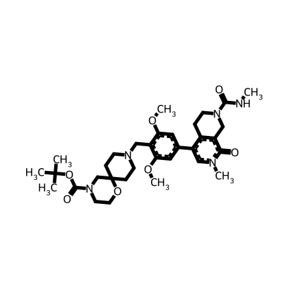 CNC(=O)N1CCc2c(-c3cc(OC)c(CN4CCC5(CC4)CN(C(=O)OC(C)(C)C)CCO5)c(OC)c3)cn(C)c(=O)c2C1